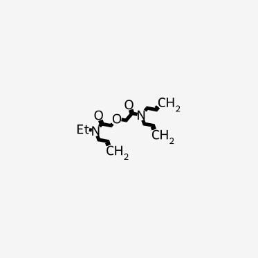 C=CCN(CC)C(=O)COCC(=O)N(CC=C)CC=C